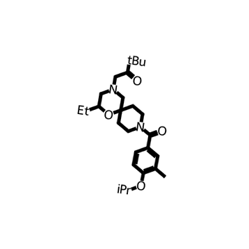 CCC1CN(CC(=O)C(C)(C)C)CC2(CCN(C(=O)c3ccc(OC(C)C)c(C)c3)CC2)O1